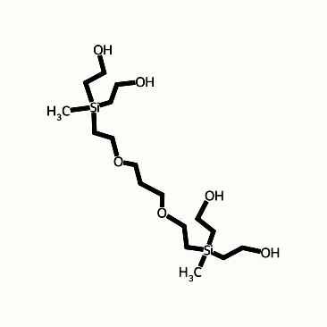 C[Si](CCO)(CCO)CCOCCCOCC[Si](C)(CCO)CCO